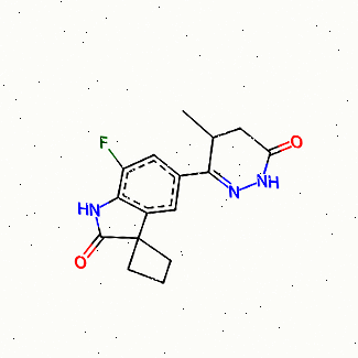 CC1CC(=O)NN=C1c1cc(F)c2c(c1)C1(CCC1)C(=O)N2